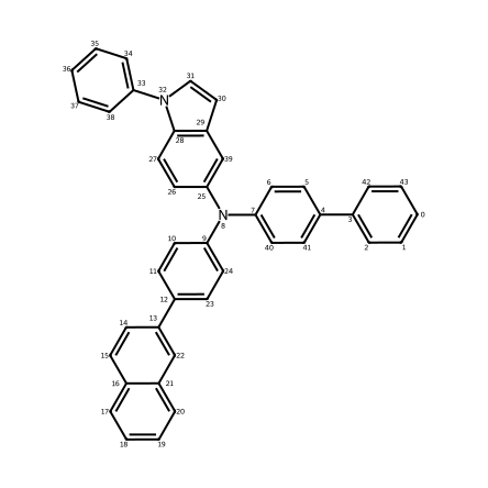 c1ccc(-c2ccc(N(c3ccc(-c4ccc5ccccc5c4)cc3)c3ccc4c(ccn4-c4ccccc4)c3)cc2)cc1